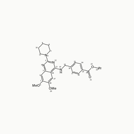 COc1cc2nc(N3CCCCC3)nc(NCc3ccc(C(=O)OC(C)C)cc3)c2cc1OC